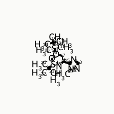 Cn1ncnc1[C@H](CO[Si](C)(C)C(C)(C)C)N[S+]([O-])C(C)(C)C